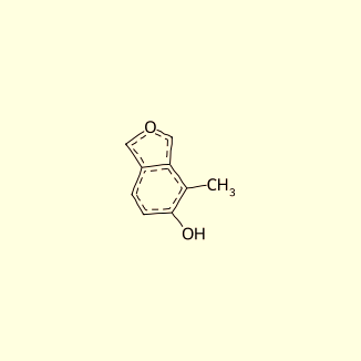 Cc1c(O)ccc2cocc12